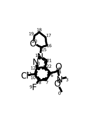 CON(C)C(=O)c1cc(F)c(Cl)c2nn(C3CCCCO3)cc12